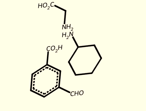 NC1CCCCC1.NCC(=O)O.O=Cc1cccc(C(=O)O)c1